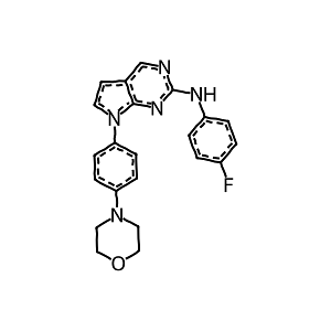 Fc1ccc(Nc2ncc3ccn(-c4ccc(N5CCOCC5)cc4)c3n2)cc1